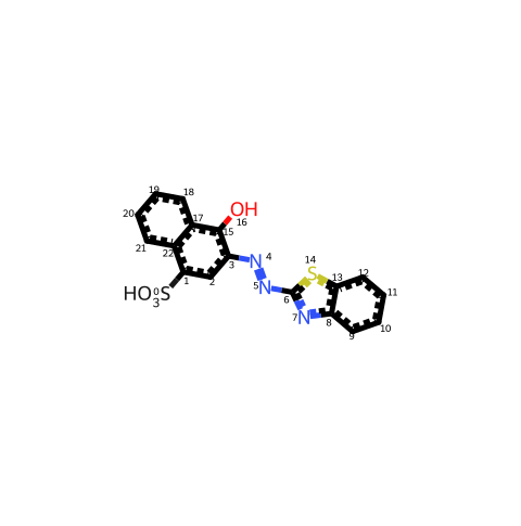 O=S(=O)(O)c1cc(/N=N/c2nc3ccccc3s2)c(O)c2ccccc12